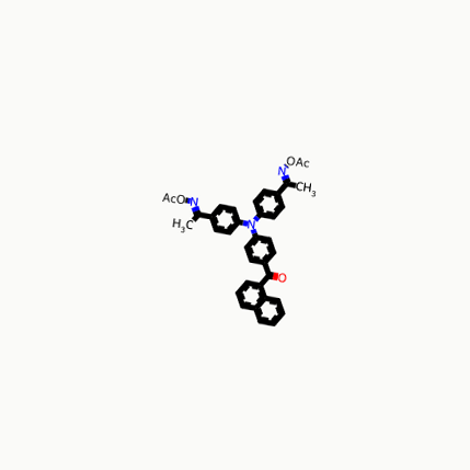 CC(=O)O/N=C(\C)c1ccc(N(c2ccc(C(=O)c3cccc4ccccc34)cc2)c2ccc(/C(C)=N/OC(C)=O)cc2)cc1